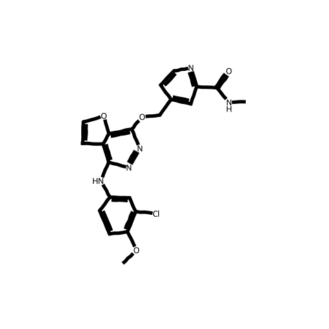 CNC(=O)c1cc(COc2nnc(Nc3ccc(OC)c(Cl)c3)c3ccoc23)ccn1